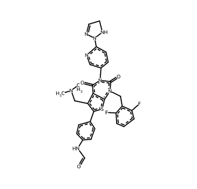 CN(C)Cc1c(-c2ccc(NC=O)cc2)sc2c1c(=O)n(-c1ccc(N3N=CCN3)nc1)c(=O)n2Cc1c(F)cccc1F